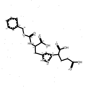 O=C(O)CCC(C(=O)O)n1cc(CC(NC(=O)OCc2ccccc2)C(=O)O)nn1